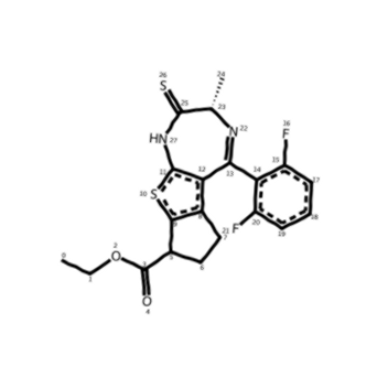 CCOC(=O)C1CCc2c1sc1c2C(c2c(F)cccc2F)=N[C@@H](C)C(=S)N1